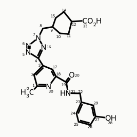 Cc1cc(-c2nnn(CC3CCC(C(=O)O)CC3)n2)cc(C(=O)NCc2cccc(O)c2)n1